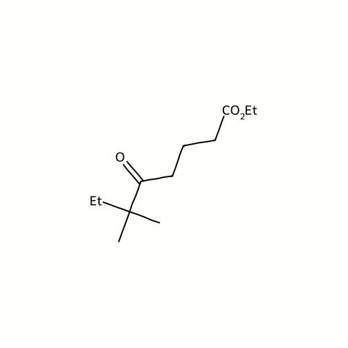 CCOC(=O)CCCC(=O)C(C)(C)CC